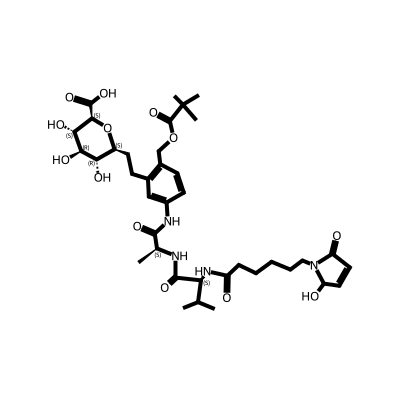 CC(C)[C@H](NC(=O)CCCCCN1C(=O)C=CC1O)C(=O)N[C@@H](C)C(=O)Nc1ccc(COC(=O)C(C)(C)C)c(CC[C@@H]2O[C@H](C(=O)O)[C@@H](O)[C@H](O)[C@H]2O)c1